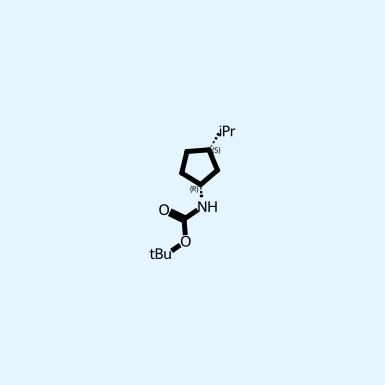 CC(C)[C@H]1CC[C@@H](NC(=O)OC(C)(C)C)C1